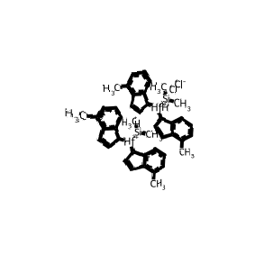 Cc1cccc2c1C=C[CH]2[Hf+]([CH]1C=Cc2c(C)cccc21)[SiH](C)C.Cc1cccc2c1C=C[CH]2[Hf+]([CH]1C=Cc2c(C)cccc21)[SiH](C)C.[Cl-].[Cl-]